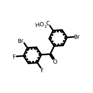 O=C(O)c1cc(Br)cc(C(=O)c2cc(Br)c(F)cc2F)c1